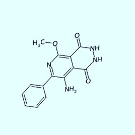 COc1nc(-c2ccccc2)c(N)c2c(=O)[nH][nH]c(=O)c12